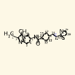 CCc1nc2ccc(NC(=O)c3ccc(/C=C/c4nccs4)cc3)cn2c1C